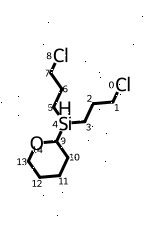 ClCCC[SiH](CCCCl)C1CCCCO1